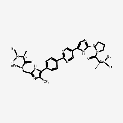 CCCN(Cc1nc(C(F)(F)F)c(-c2ccc(-c3ncc(-c4cnc([C@@H]5CCCN5C(=O)[C@@H](C)N(CC)CC)[nH]4)cn3)cc2)[nH]1)C(=O)[C@H](C)N(CC)CC